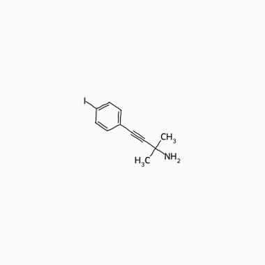 CC(C)(N)C#Cc1ccc(I)cc1